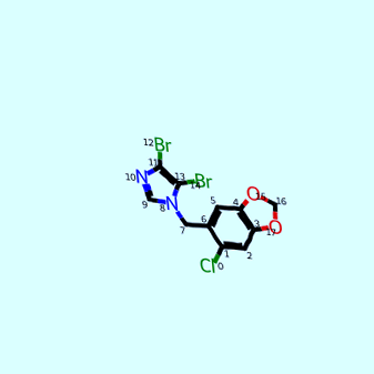 Clc1cc2c(cc1Cn1cnc(Br)c1Br)OCO2